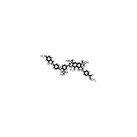 COC(=O)c1ccc(N=Nc2c(S(=O)(=O)O)cc3cc(S(=O)(=O)O)c(N=Nc4ccc(Nc5ccc(N=Nc6ccc(N)cc6O)cc5)c(S(=O)(=O)O)c4)c(N)c3c2O)cc1